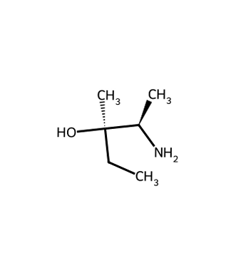 CC[C@@](C)(O)[C@@H](C)N